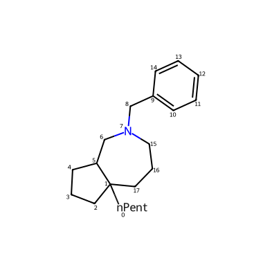 CCCCCC12CCCC1CN(Cc1ccccc1)CCC2